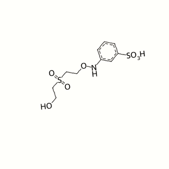 O=S(=O)(CCO)CCONc1cccc(S(=O)(=O)O)c1